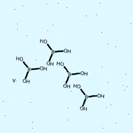 OB(O)O.OB(O)O.OB(O)O.OB(O)O.[V]